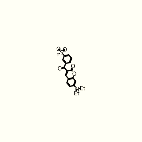 CCN(CC)c1ccc2cc(C(=O)c3cccc(S(=O)(=O)F)c3)c(=O)oc2c1